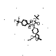 C=CCC1(C(=O)OCC)CCC(N(C(=O)OC(C)(C)C)S(=O)(=O)c2ccc(C(F)(F)F)cc2)CC1